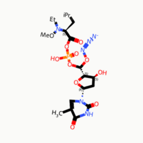 CCN(OC)[C@@H](CC(C)C)C(=O)OP(=O)(O)OC(ON=[N+]=[N-])[C@H]1O[C@@H](n2cc(C)c(=O)[nH]c2=O)C[C@@H]1O